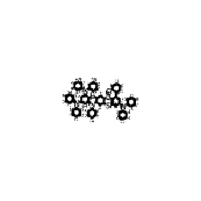 Sc1cc2c(cc1B1Oc3ccccc3-c3cc(N(c4ccccc4)c4ccccc4)ccc31)B1c3ccccc3N(c3ccccc3)c3cc(N(c4ccccc4)c4ccccc4)cc(c31)N2c1ccccc1